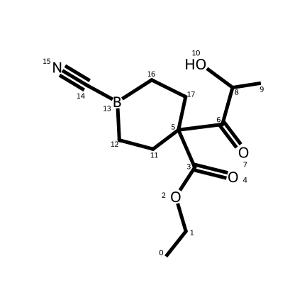 CCOC(=O)C1(C(=O)C(C)O)CCB(C#N)CC1